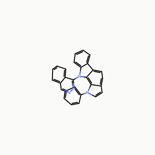 c1ccc(-n2ccc3ccc4c5ccccc5n(-c5nncc6ccccc56)c4c32)cc1